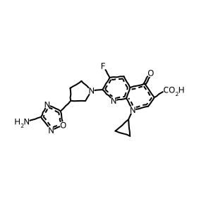 Nc1noc(C2CCN(c3nc4c(cc3F)c(=O)c(C(=O)O)cn4C3CC3)C2)n1